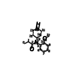 CCC(=O)N(c1ccccc1OC)C1CCNCC1